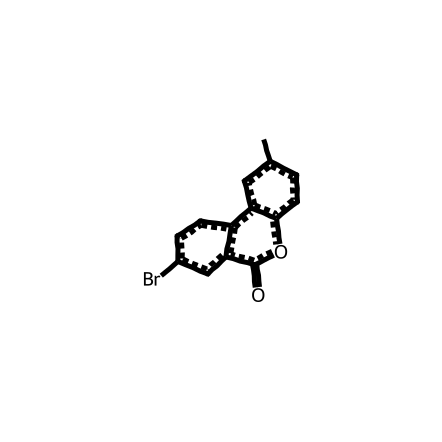 Cc1ccc2oc(=O)c3cc(Br)ccc3c2c1